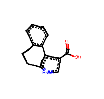 O=C(O)c1c[nH]c2c1-c1ccccc1CC2